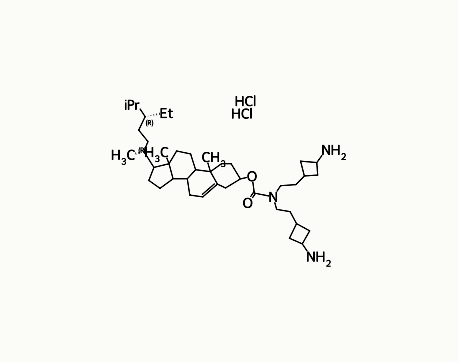 CC[C@H](CC[C@@H](C)C1CCC2C3CC=C4CC(OC(=O)N(CCC5CC(N)C5)CCC5CC(N)C5)CCC4(C)C3CCC21C)C(C)C.Cl.Cl